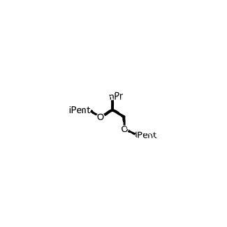 CCCC(C)OCC(CCC)OC(C)CCC